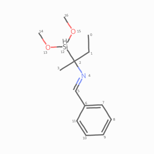 CCC(C)(N=Cc1ccccc1)[SiH](OC)OC